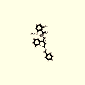 COc1cccc(F)c1C(=O)NCC(CCOCc1ccccc1)c1cccc(F)c1